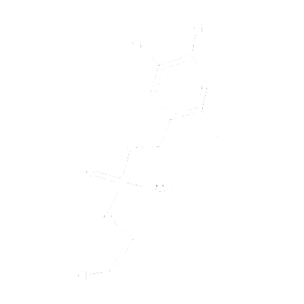 COP(=O)(O/C=C\Cl)OCc1cc(Cl)c(Cl)cc1Cl